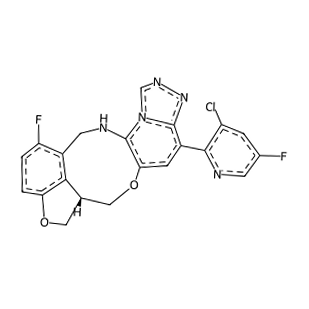 Fc1cnc(-c2cc3c(n4cnnc24)NCc2c(F)ccc4c2[C@@H](CO4)CO3)c(Cl)c1